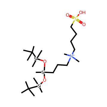 CC(C)(C)[Si](C)(C)O[Si](C)(CCC[N+](C)(C)CCCCS(=O)(=O)O)O[Si](C)(C)C(C)(C)C